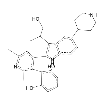 Cc1cc(-c2[nH]c3ccc(C4CCNCC4)cc3c2C(C)CO)c(-c2c(O)cccc2O)c(C)n1